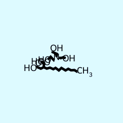 CCCCCCCCCCCCC(CC(=O)O)C(=O)O.OCCN(CCO)CCO